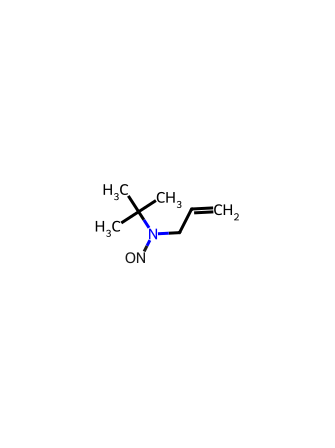 C=CCN(N=O)C(C)(C)C